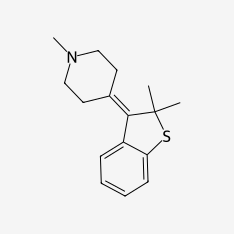 CN1CCC(=C2c3ccccc3SC2(C)C)CC1